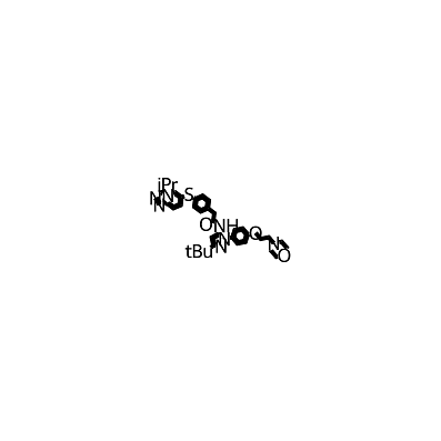 CC(C)c1nnc2ccc(Sc3ccc(CC(=O)Nc4cc(C(C)(C)C)nn4-c4ccc(OCCN5CCOCC5)cc4)cc3)cn12